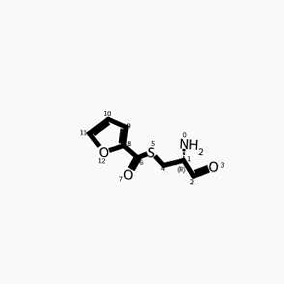 N[C@H](C=O)CSC(=O)c1ccco1